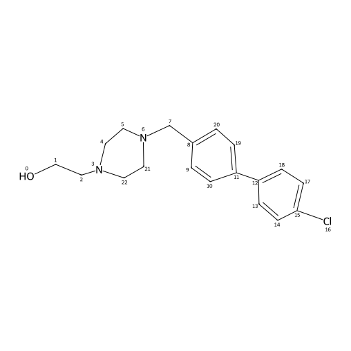 OCCN1CCN(Cc2ccc(-c3ccc(Cl)cc3)cc2)CC1